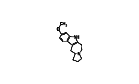 COc1ccc2c3c([nH]c2c1)CCN1CCCC1C3